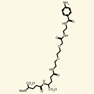 CNC(CCC(=O)NC(CCC(=O)NCCOCCOCC(=O)NCCNC(=O)c1ccc(N)cc1)C(=O)O)C(=O)O